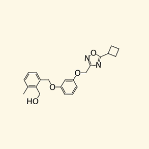 Cc1cccc(COc2cccc(OCc3noc(C4CCC4)n3)c2)c1CO